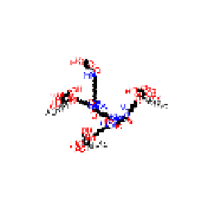 CC(=O)NC1C(OCCCCCCNC(=O)CCC(NC(=O)CCC(NC(=O)CCCCCCCCCNC(=O)[C@@H]2C[C@@H](O)CO2)C(=O)NCCCCCCOC2OC(CO)C(O)C(O)C2NC(C)=O)C(=O)NCCCCCCOC2O[C@H](CO)C(O)C(O)C2NC(C)=O)OC(CO)C(O)C1O